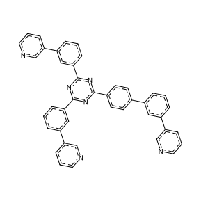 c1cncc(-c2cccc(-c3ccc(-c4nc(-c5cccc(-c6cccnc6)c5)nc(-c5cccc(-c6cccnc6)c5)n4)cc3)c2)c1